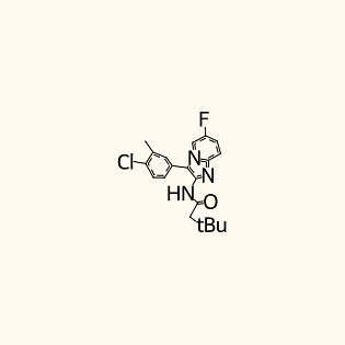 Cc1cc(-c2c(NC(=O)CC(C)(C)C)nc3ccc(F)cn23)ccc1Cl